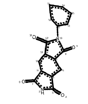 O=c1[nH]c(=O)c2cc3c(=O)n(-c4ccccc4)c(=O)c3cc12